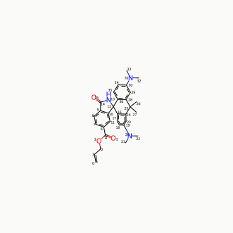 C=CCOC(=O)c1ccc2c(c1)C1(NC2=O)c2ccc(N(C)C)cc2C(C)(C)c2cc(N(C)C)ccc21